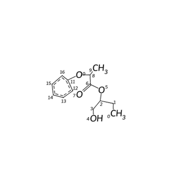 CCC(CO)OC(=O)C(C)Oc1ccccc1